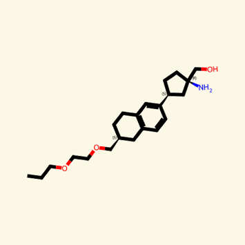 CCCOCCOC[C@H]1CCc2cc([C@H]3CC[C@](N)(CO)C3)ccc2C1